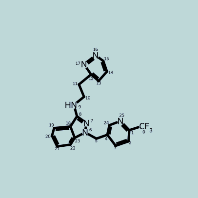 FC(F)(F)c1ccc(Cn2nc(NCCc3cccnn3)c3ccccc32)cn1